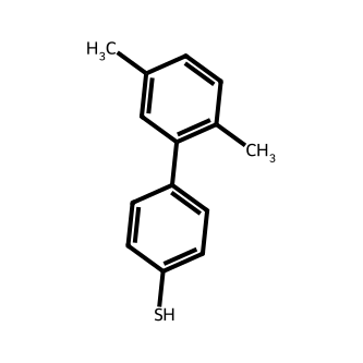 Cc1ccc(C)c(-c2ccc(S)cc2)c1